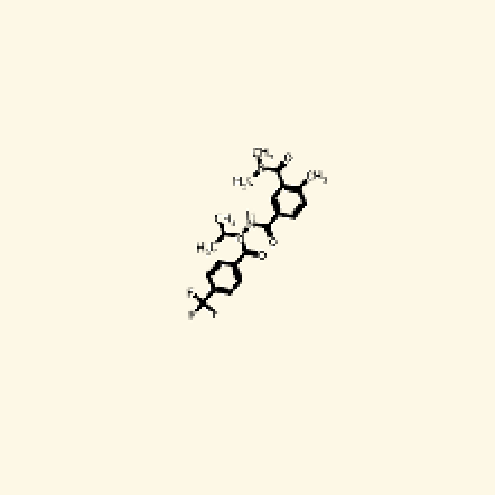 Cc1ccc(C(=O)NN(C(=O)c2ccc(C(F)(F)F)cc2)C(C)C)cc1C(=O)N(C)C